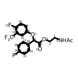 CC(=O)NCCOC(=O)C(Oc1ccc(F)c(C(F)(F)F)c1)c1ccc(F)cc1